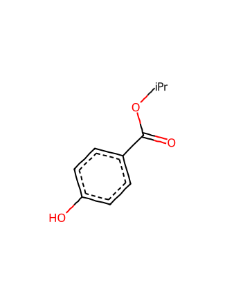 CC(C)OC(=O)c1ccc(O)cc1